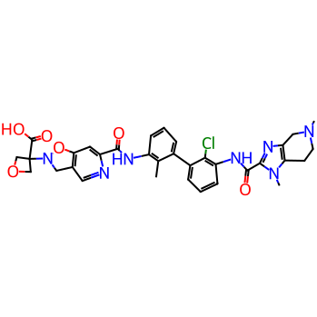 Cc1c(NC(=O)c2cc3c(cn2)CN(C2(C(=O)O)COC2)O3)cccc1-c1cccc(NC(=O)c2nc3c(n2C)CCN(C)C3)c1Cl